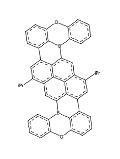 CC(C)c1cc2c3c(cc4c(C(C)C)cc5c6c(cc1c3c46)B1c3ccccc3Oc3cccc-5c31)B1c3ccccc3Oc3cccc-2c31